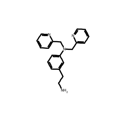 NCCc1cccc(N(Cc2ccccn2)Cc2ccccn2)c1